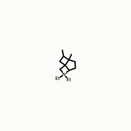 CC[N+]1(CC)CC23CC(C)C2(C)CCC31